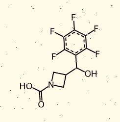 O=C(O)N1CC(C(O)c2c(F)c(F)c(F)c(F)c2F)C1